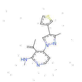 C=C(C)c1c(-n2cc(-c3ccsc3)c(C)n2)ccnc1NC